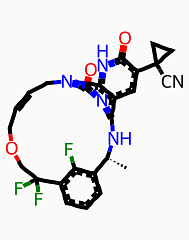 C[C@H]1Nc2nc(=O)n(c3[nH]c(=O)c(C4(C#N)CC4)cc23)C/C=C\COCC(F)(F)c2cccc1c2F